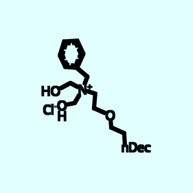 CCCCCCCCCCCCOCC[N+](CO)(CO)Cc1ccccc1.[Cl-]